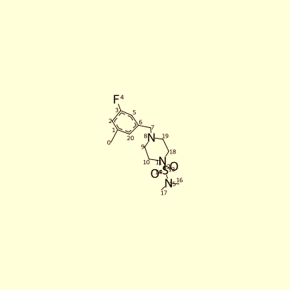 Cc1cc(F)cc(CN2CCN(S(=O)(=O)N(C)C)CC2)c1